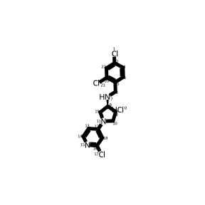 Cl.Clc1ccc(CN[C@H]2CCN(c3ccnc(Cl)c3)C2)c(Cl)c1